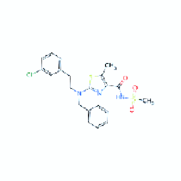 Cc1sc(N(CCc2cccc(Cl)c2)Cc2ccccc2)nc1C(=O)NS(C)(=O)=O